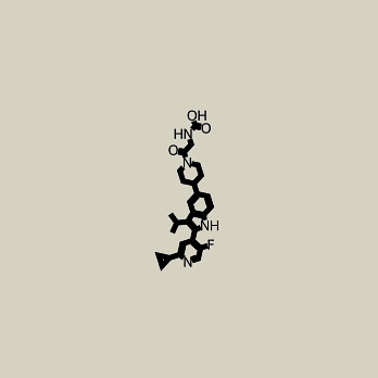 CC(C)c1c(-c2cc(C3CC3)ncc2F)[nH]c2ccc(C3CCN(C(=O)CNC(=O)O)CC3)cc12